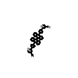 N#Cc1ccnc(-c2ccc(-c3c4ccccc4c(-c4c5ccccc5c(-c5ccc(-c6cc(C#N)ccn6)cc5)c5ccccc45)c4ccccc34)cc2)c1